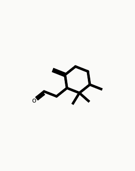 C=C1CCC(C)C(C)(C)C1CC=O